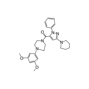 COc1cc(OC)cc(N2CCN(C(=O)c3cc(N4CCCCC4)nn3-c3ccccc3)CC2)c1